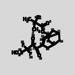 CCC(C)(C)C(=O)OC12CC3CC(C1)CC(C(=O)C(=O)C(F)(F)S(=O)(=O)O)(C3)C2